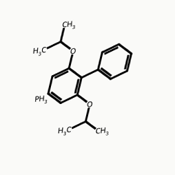 CC(C)Oc1cccc(OC(C)C)c1-c1ccccc1.P